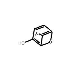 Cc1c2ccc(O)c1O2